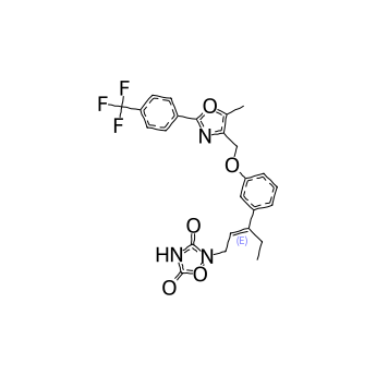 CC/C(=C\Cn1oc(=O)[nH]c1=O)c1cccc(OCc2nc(-c3ccc(C(F)(F)F)cc3)oc2C)c1